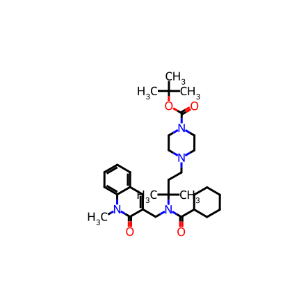 Cn1c(=O)c(CN(C(=O)C2CCCCC2)C(C)(C)CCN2CCN(C(=O)OC(C)(C)C)CC2)cc2ccccc21